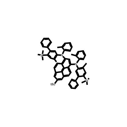 Cc1ccccc1N(c1cc(-c2ccccc2)c([Si](C)(C)C)cc1C)c1cc(N(c2ccccc2C)c2cc(-c3ccccc3)c([Si](C)(C)C)cc2C)c2ccc3cc(C(C)(C)C)cc4ccc1c2c43